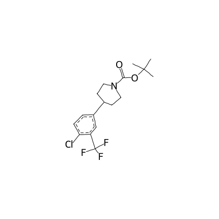 CC(C)(C)OC(=O)N1CCC(c2ccc(Cl)c(C(F)(F)F)c2)CC1